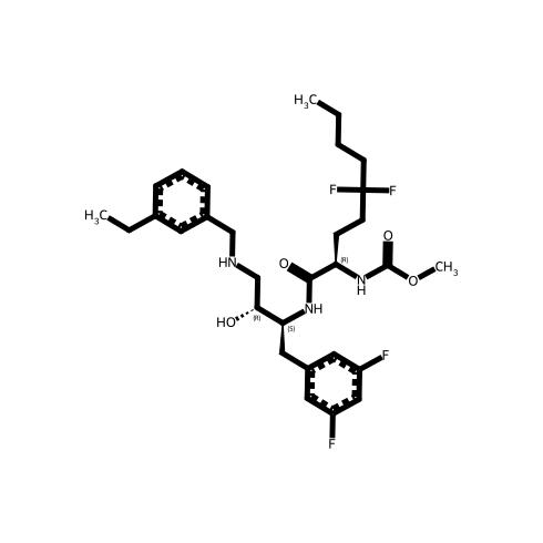 CCCCC(F)(F)CC[C@@H](NC(=O)OC)C(=O)N[C@@H](Cc1cc(F)cc(F)c1)[C@H](O)CNCc1cccc(CC)c1